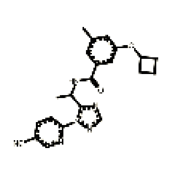 Cc1cc(OC2CCC2)cc(C(=O)NC(C)c2ncnn2-c2ccc(C#N)cn2)c1